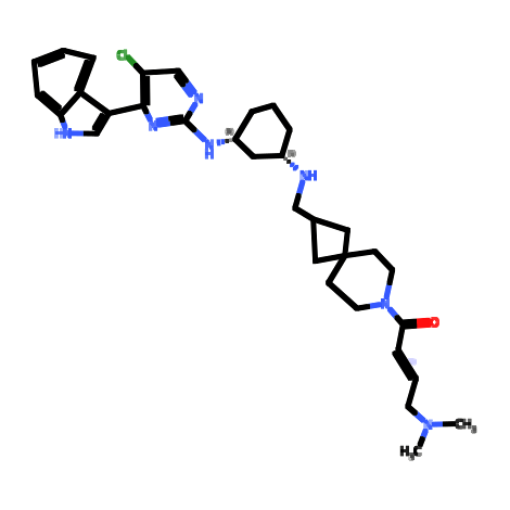 CN(C)C/C=C/C(=O)N1CCC2(CC1)CC(CN[C@H]1CCC[C@@H](Nc3ncc(Cl)c(-c4c[nH]c5ccccc45)n3)C1)C2